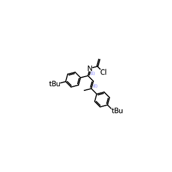 C=C(Cl)/N=C(\C=C(/C)c1ccc(C(C)(C)C)cc1)c1ccc(C(C)(C)C)cc1